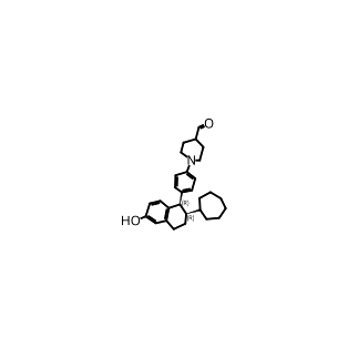 O=CC1CCN(c2ccc([C@@H]3c4ccc(O)cc4CC[C@@H]3C3CCCCCC3)cc2)CC1